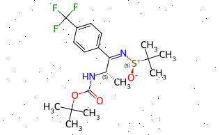 C[C@H](NC(=O)OC(C)(C)C)C(=N[S@+]([O-])C(C)(C)C)c1ccc(C(F)(F)F)cc1